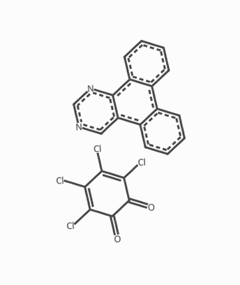 O=C1C(=O)C(Cl)=C(Cl)C(Cl)=C1Cl.c1ccc2c(c1)c1ccccc1c1ncncc21